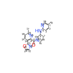 Cc1ccc(NC2CC3CC2N(C(=O)c2nc(C)ccc2-c2ncco2)C3)nc1